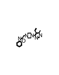 C=Cc1c(C)ncnc1N1CCN(Cc2nc3ccccc3o2)CC1